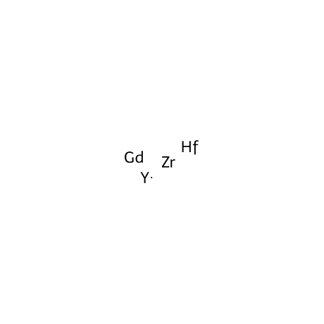 [Gd].[Hf].[Y].[Zr]